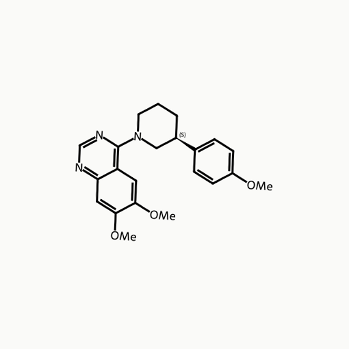 COc1ccc([C@@H]2CCCN(c3ncnc4cc(OC)c(OC)cc34)C2)cc1